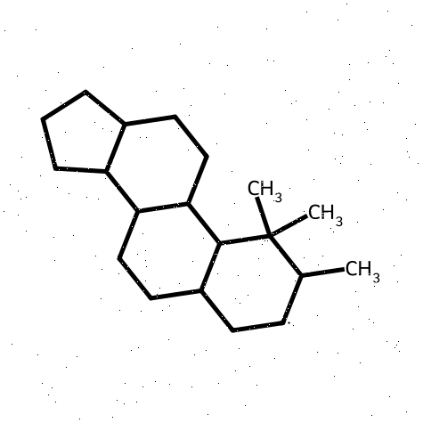 CC1[CH]CC2CCC3C4CCCC4CCC3C2C1(C)C